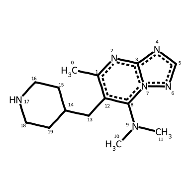 Cc1nc2ncnn2c(N(C)C)c1CC1CCNCC1